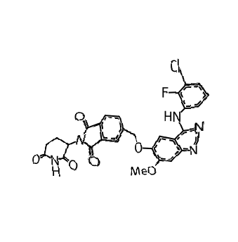 COc1cc2ncnc(Nc3cccc(Cl)c3F)c2cc1OCc1ccc2c(c1)C(=O)N(C1CCC(=O)NC1=O)C2=O